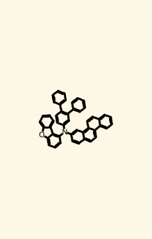 c1ccc(-c2ccc(N(c3ccc4ccc5c6ccccc6ccc5c4c3)c3cccc4oc5ccccc5c34)cc2-c2ccccc2)cc1